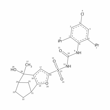 CC(C)c1cc(Cl)cc(C(C)C)c1NC(=O)NS(=O)(=O)c1cc2c(o1)C1CCC(C1)C2(C)O